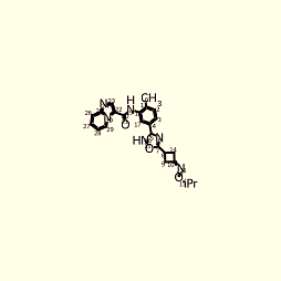 Cc1ccc(C2N=C(C3CC(=NOC(C)C)C3)ON2)cc1NC(=O)c1cnc2ccccn12